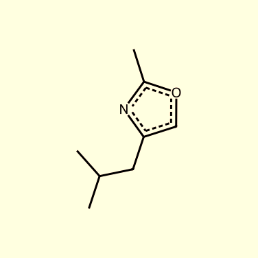 Cc1nc(CC(C)C)co1